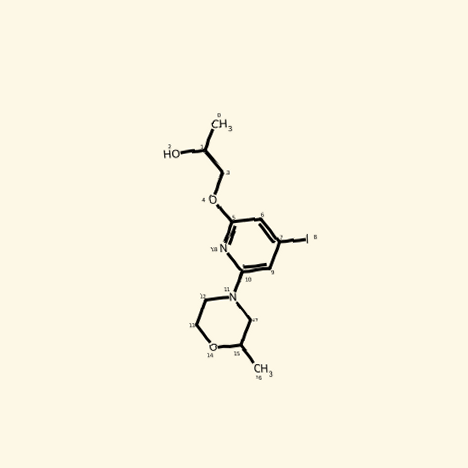 CC(O)COc1cc(I)cc(N2CCOC(C)C2)n1